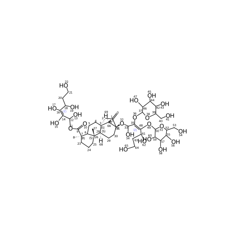 C=C1C[C@@]23CCC4[C@](C)(C(=O)OC(O)/C(O)=C(/O)C(O)CCO)CCC[C@@]4(C)[C@@H]2CC[C@]1(OC(O)/C(OC1OC(CO)C(O)C(O)C1O)=C(/OC1OC(CO)C(O)C(O)C1O)C(O)CCO)[C@@H]3C